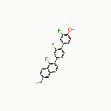 CCc1ccc2c(F)c(-c3ccc(-c4ccc(OC)c(F)c4)c(F)c3)ccc2c1